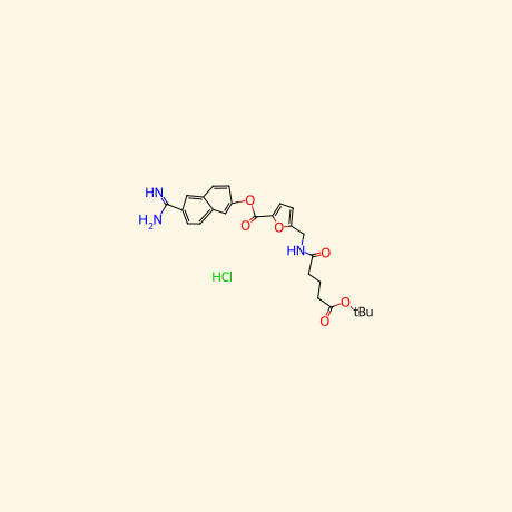 CC(C)(C)OC(=O)CCCC(=O)NCc1ccc(C(=O)Oc2ccc3cc(C(=N)N)ccc3c2)o1.Cl